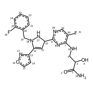 NC(=O)C(O)CNc1nc(C2C=C(c3ccon3)N(Cc3ccccc3F)N2)ncc1F